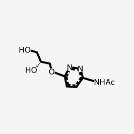 CC(=O)Nc1ccc(OC[C@H](O)CO)nn1